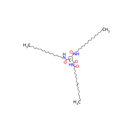 CCCCCCCCC=CCCCCCCCC(=O)NC(=O)C1CC(C(=O)NCCCCCCCCCCCCCCCCCC)CC(C(=O)NCCCCCCCCCCCCCCCCCC)C1